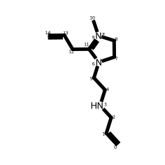 C=CCNCCN1CC[N+](C)=C1CC=C